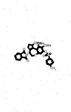 COc1c(OS(=O)(=O)c2ccc(C)cc2)cc2c(c1OC)C1=C(CCC1OC)[C@@H](N1C(=O)c3ccccc3C1=O)CC2